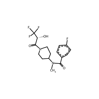 CN(C(=O)c1ccc(F)cc1)C1CCN(C(=O)[C@@H](O)C(F)(F)F)CC1